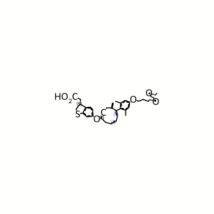 C=C1CC[C@@H](Oc2ccc3c(c2)SC[C@H]3CC(=O)O)C/C=C\C=C/1c1c(C)cc(OCCCS(C)(=O)=O)cc1C